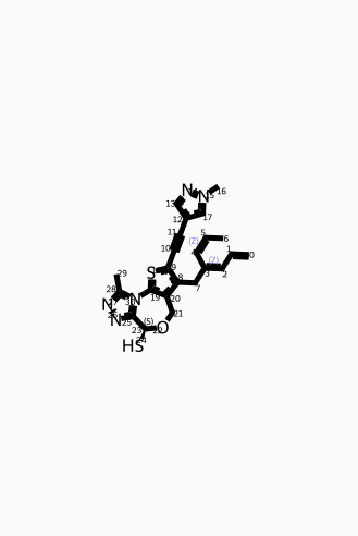 C=C/C=C(\C=C/C)Cc1c(C#Cc2cnn(C)c2)sc2c1CO[C@@H](S)c1nnc(C)n1-2